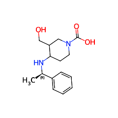 C[C@@H](NC1CCN(C(=O)O)CC1CO)c1ccccc1